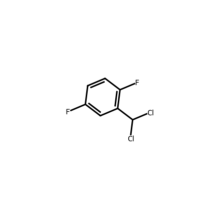 Fc1ccc(F)c(C(Cl)Cl)c1